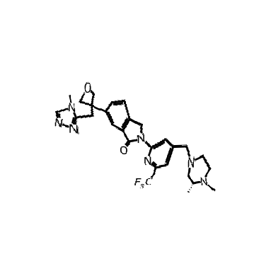 C[C@@H]1CN(Cc2cc(N3Cc4ccc(C5(Cc6nncn6C)COC5)cc4C3=O)nc(C(F)(F)F)c2)CCN1C